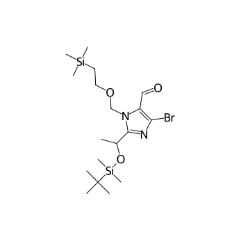 CC(O[Si](C)(C)C(C)(C)C)c1nc(Br)c(C=O)n1COCC[Si](C)(C)C